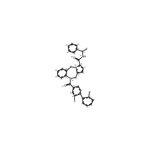 Cc1ccccc1-c1ccc(C(=O)N2Cc3ccc(C(=O)NC(C)c4ccccc4)n3Cc3ccccc32)cc1C